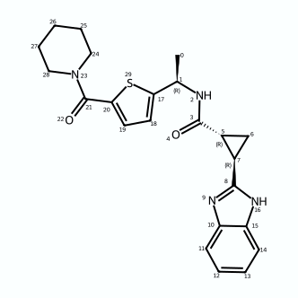 C[C@@H](NC(=O)[C@@H]1C[C@H]1c1nc2ccccc2[nH]1)c1ccc(C(=O)N2CCCCC2)s1